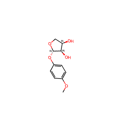 COc1ccc(O[C@@H]2OC[C@@H](O)[C@H]2O)cc1